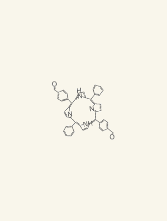 O=Cc1ccc(-c2c3nc(c(-c4ccccc4)c4ccc([nH]4)c(-c4ccc(C=O)cc4)c4nc(c(-c5ccccc5)c5ccc2[nH]5)C=C4)C=C3)cc1